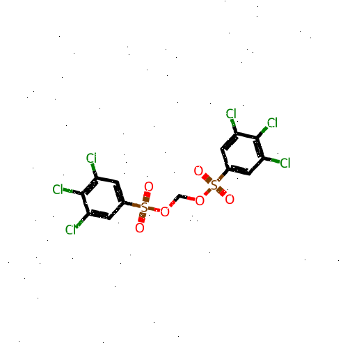 O=S(=O)(OCOS(=O)(=O)c1cc(Cl)c(Cl)c(Cl)c1)c1cc(Cl)c(Cl)c(Cl)c1